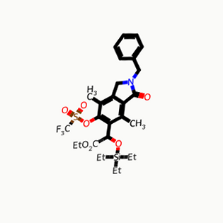 CCOC(=O)C(O[Si](CC)(CC)CC)c1c(C)c2c(c(C)c1OS(=O)(=O)C(F)(F)F)CN(Cc1ccccc1)C2=O